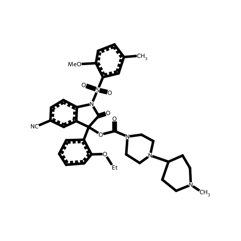 CCOc1ccccc1C1(OC(=O)N2CCN(C3CCN(C)CC3)CC2)C(=O)N(S(=O)(=O)c2cc(C)ccc2OC)c2ccc(C#N)cc21